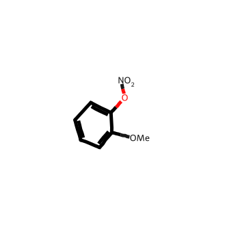 COc1ccccc1O[N+](=O)[O-]